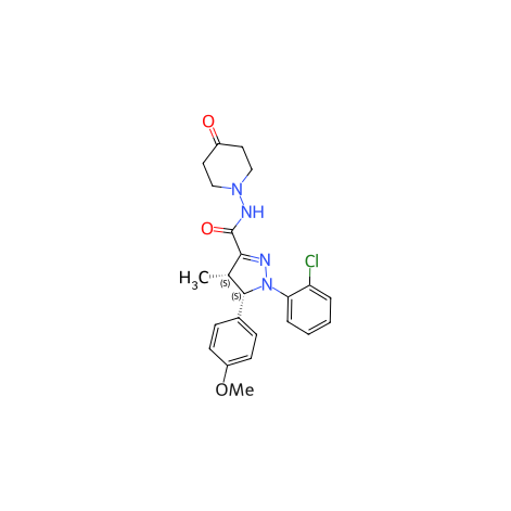 COc1ccc([C@@H]2[C@H](C)C(C(=O)NN3CCC(=O)CC3)=NN2c2ccccc2Cl)cc1